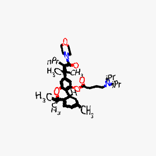 CCCC(C(=O)N1CCOCC1)C(C)(C)c1cc(OC(=O)CCCN(C(C)C)C(C)C)c2c(c1)OC(C)(C)C1CC=C(C)C[C@@H]21